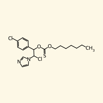 CCCCCCCOC(=S)OC(c1ccc(Cl)cc1)C(Cl)n1ccnc1